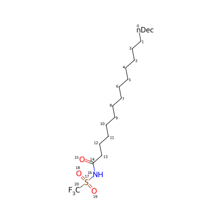 CCCCCCCCCCCCCCCCCCCCCCCC(=O)NS(=O)(=O)C(F)(F)F